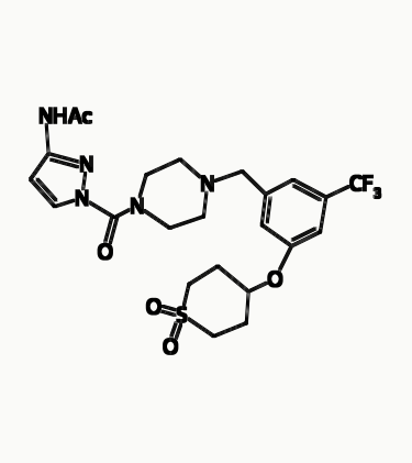 CC(=O)Nc1ccn(C(=O)N2CCN(Cc3cc(OC4CCS(=O)(=O)CC4)cc(C(F)(F)F)c3)CC2)n1